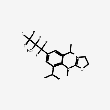 CC(C)c1cc(C(F)(F)C(O)(F)C(F)(F)F)cc(C(C)C)c1N(C)C1=NCCO1